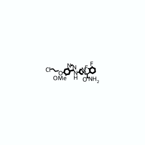 COc1cc2c(Nc3cnn(C(C(N)=O)c4cccc(F)c4F)c3)ncnc2cc1OCCCCl